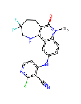 Cn1c(=O)c2c(c3cc(Nc4ccnc(Cl)c4C#N)ccc31)NCC(F)(F)CC2